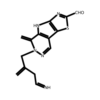 C=C(CC=N)CN1N=Cc2c([nH]c3nc(C=O)sc23)C1=C